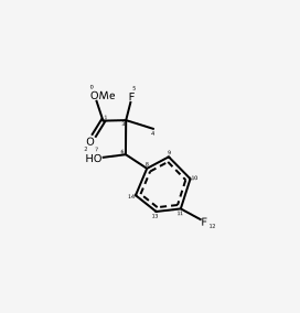 COC(=O)C(C)(F)C(O)c1ccc(F)cc1